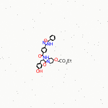 CCOC(=O)COC1CCN(C(=O)C(Cc2ccc(O)cc2)NC(=O)c2ccc(C3=NOC(c4ccccc4)N3)cc2)CC1